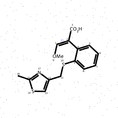 CO/C=C(/C(=O)O)c1ccccc1SCc1csc(C)n1